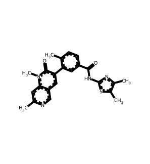 Cc1cc2c(cn1)cc(-c1cc(C(=O)Nc3nc(C)c(C)s3)ccc1C)c(=O)n2C